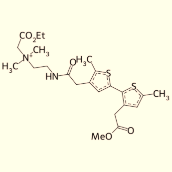 CCOC(=O)C[N+](C)(C)CCNC(=O)Cc1cc(-c2sc(C)cc2CC(=O)OC)sc1C